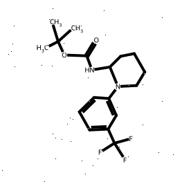 CC(C)(C)OC(=O)NC1CCCCN1c1cccc(C(F)(F)F)c1